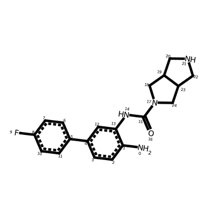 Nc1ccc(-c2ccc(F)cc2)cc1NC(=O)N1CC2CNCC2C1